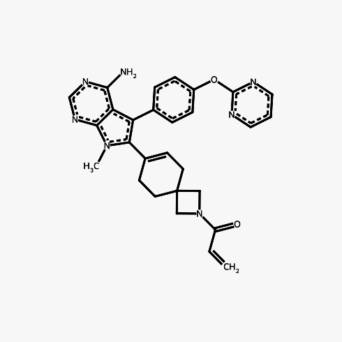 C=CC(=O)N1CC2(CC=C(c3c(-c4ccc(Oc5ncccn5)cc4)c4c(N)ncnc4n3C)CC2)C1